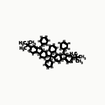 CC(C)(C)c1cc2c(cn1)c1ccc(C(c3ccccc3)(c3ccccc3)c3ccc4c5cnc(C(C)(C)C)cc5n(-c5ccccc5)c4c3)cc1n2-c1ccccc1